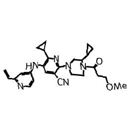 C=Cc1cc(Nc2cc(C#N)c(N3CCN(C(=O)CCOC)C(C4CC4)C3)nc2C2CC2)ccn1